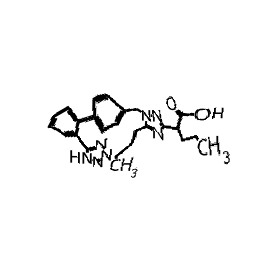 CCCCc1nc(C(CCC)C(=O)O)nn1Cc1ccc(-c2ccccc2-c2nnn[nH]2)cc1